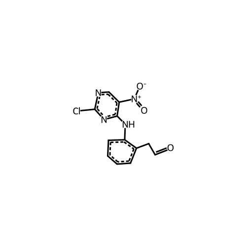 O=CCc1ccccc1Nc1nc(Cl)ncc1[N+](=O)[O-]